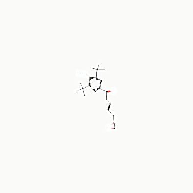 CC(C)(C)c1cc(C(=O)C/C=C/CC2CO2)cc(C(C)(C)C)c1O